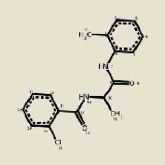 Cc1ccccc1NC(=O)C(C)NC(=O)c1ccccc1Cl